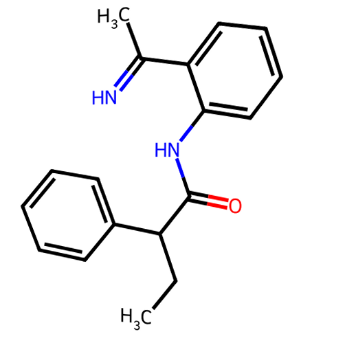 CCC(C(=O)Nc1ccccc1C(C)=N)c1ccccc1